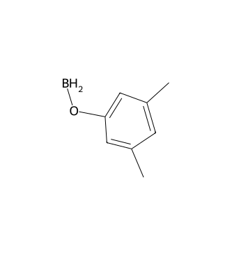 BOc1cc(C)cc(C)c1